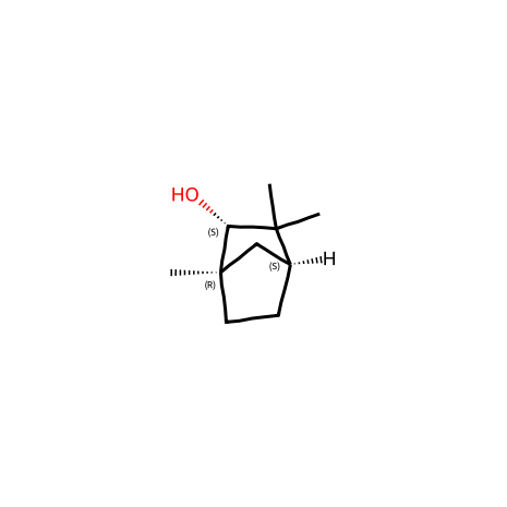 CC1(C)[C@H]2CC[C@](C)(C2)[C@@H]1O